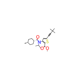 COC(=O)c1sc(C#CC(C)(C)C)cc1N(C(=O)[C@H]1CC[C@H](C)CC1)C(C)C